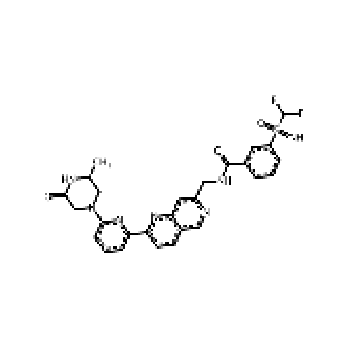 C[C@H]1CN(c2cccc(-c3ccc4cnc(CNC(=O)c5cccc([S@@](=N)(=O)C(F)F)c5)cc4n3)n2)CC(=O)N1